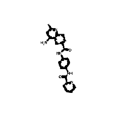 Cc1cc(N)c2cc(C(=O)Nc3ccc(NC(=O)c4ccccn4)cc3)ccc2n1